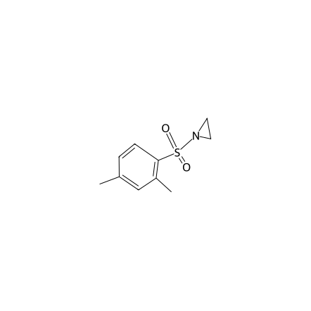 Cc1ccc(S(=O)(=O)N2CC2)c(C)c1